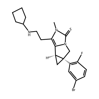 Cn1c(CCNC2CCCC2)c2n(c1=S)C[C@@]1(c3cc(Br)ccc3F)C[C@@H]21